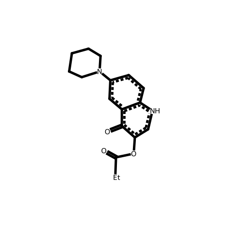 CCC(=O)Oc1c[nH]c2ccc(N3CCCCC3)cc2c1=O